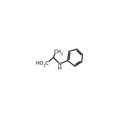 [CH2]C(Nc1ccccc1)C(=O)O